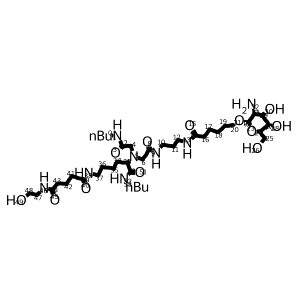 CCCCNC(=O)CN(CC(=O)NCCCNC(=O)CCCCCO[C@@H]1OC(CO)[C@H](O)C(O)[C@@H]1N)C(CCCCNC(=O)CCCC(=O)NCCO)C(=O)NCCCC